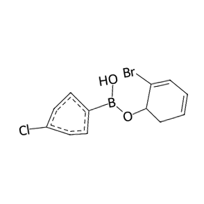 OB(OC1CC=CC=C1Br)c1ccc(Cl)cc1